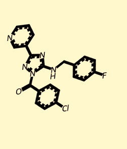 O=C(c1ccc(Cl)cc1)n1nc(-c2cccnc2)nc1NCc1ccc(F)cc1